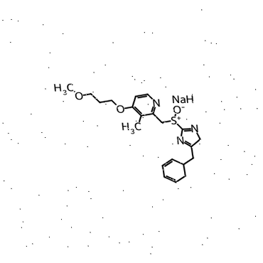 COCCCOc1ccnc(C[S+]([O-])C2=NCC(CC3C=CC=CC3)=N2)c1C.[NaH]